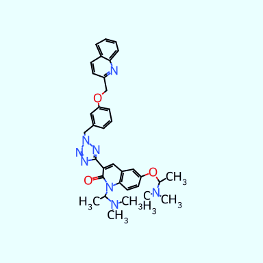 CC(Oc1ccc2c(c1)cc(-c1nnn(Cc3cccc(OCc4ccc5ccccc5n4)c3)n1)c(=O)n2C(C)N(C)C)N(C)C